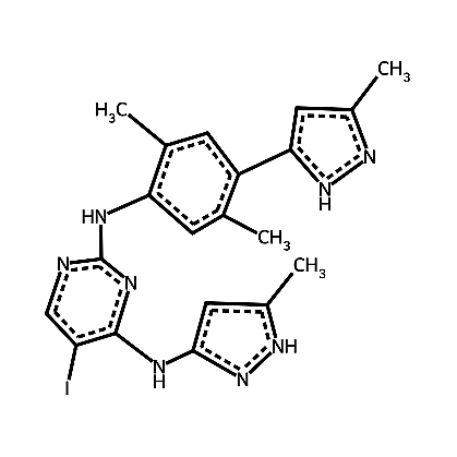 Cc1cc(-c2cc(C)c(Nc3ncc(I)c(Nc4cc(C)[nH]n4)n3)cc2C)[nH]n1